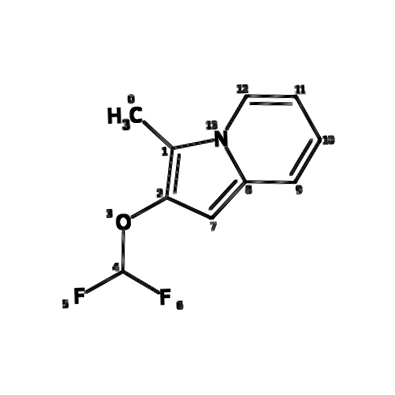 Cc1c(OC(F)F)cc2ccccn12